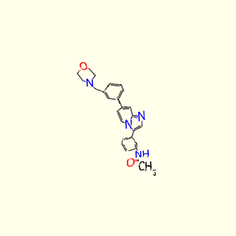 CC(=O)Nc1cccc(-c2cnc3cc(-c4cccc(CN5CCOCC5)c4)ccn23)c1